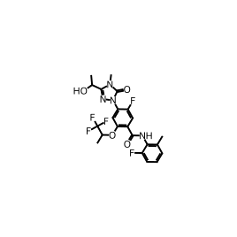 Cc1cccc(F)c1NC(=O)c1cc(F)c(-n2nc(C(C)O)n(C)c2=O)cc1OC(C)C(F)(F)F